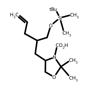 C=CCC(CO[Si](C)(C)C(C)(C)C)CC1COC(C)(C)N1C(=O)O